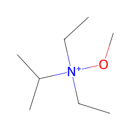 CC[N+](CC)(OC)C(C)C